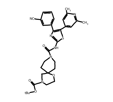 Cc1cc(-c2sc(NC(=O)N3CCC4(CC3)CN(C(=O)OC(C)(C)C)CCO4)nc2-c2cccc(C#N)c2)cc(C)n1